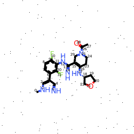 CN/C=C(\C=N)c1ccc(F)c(NC(=N)C2=C(N[C@@H]3CCOC3)CCN(C(C)=O)C2)c1F